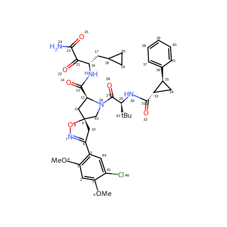 COc1cc(OC)c(C2=NO[C@]3(C2)C[C@@H](C(=O)N[C@@H](CC2CC2)C(=O)C(N)=O)N(C(=O)[C@@H](NC(=O)[C@H]2C[C@@H]2c2ccccc2)C(C)(C)C)C3)cc1Cl